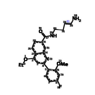 CCOc1cc(-c2ccc(F)cc2OC)nc2cc(C(=O)NCC/C=C/N)ccc12